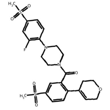 CS(=O)(=O)c1ccc(N2CCN(C(=O)c3cc(S(C)(=O)=O)ccc3C3=CCOCC3)CC2)c(F)c1